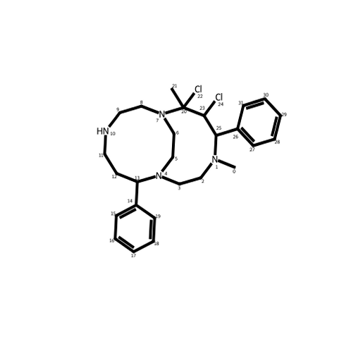 CN1CCN2CCN(CCNCCC2c2ccccc2)C(C)(Cl)C(Cl)C1c1ccccc1